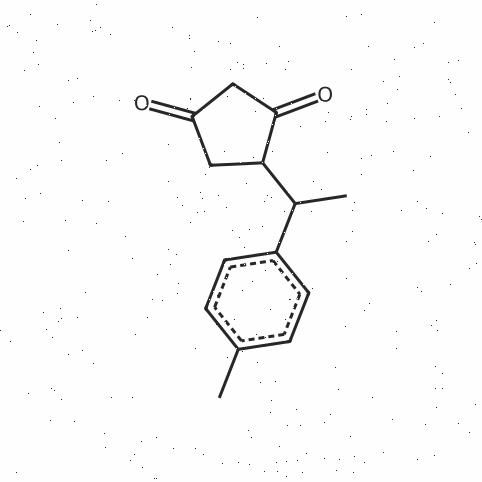 Cc1ccc(C(C)C2CC(=O)CC2=O)cc1